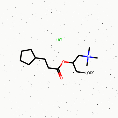 C[N+](C)(C)CC(CC(=O)[O-])OC(=O)CCC1CCCC1.Cl